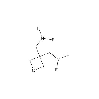 FN(F)CC1(CN(F)F)COC1